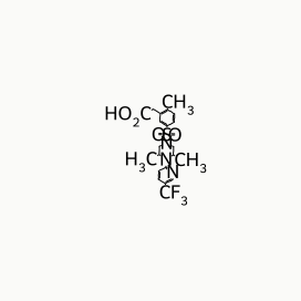 Cc1ccc(S(=O)(=O)N2CC(C)N(c3ccc(C(F)(F)F)cn3)C(C)C2)cc1CC(=O)O